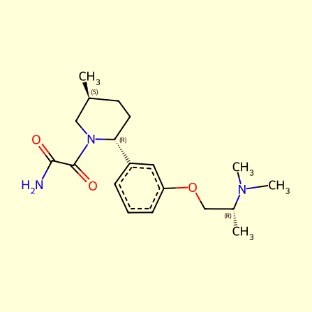 C[C@H]1CC[C@H](c2cccc(OC[C@@H](C)N(C)C)c2)N(C(=O)C(N)=O)C1